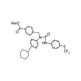 COC(=O)c1ccc(CN(C(=O)Nc2ccc(SC(F)(F)F)cc2)c2ccc(C3CCCCC3)cc2)cc1